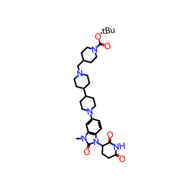 Cn1c(=O)n(C2CCC(=O)NC2=O)c2ccc(N3CCC(C4CCN(CC5CCN(C(=O)OC(C)(C)C)CC5)CC4)CC3)cc21